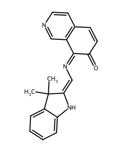 CC1(C)/C(=C\N=C2/C(=O)C=Cc3ccncc32)Nc2ccccc21